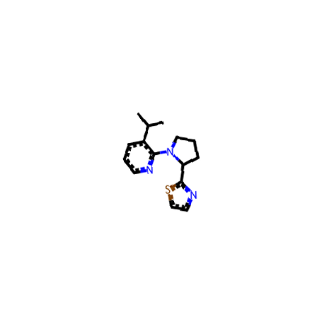 CC(C)c1cccnc1N1CCCC1c1nccs1